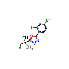 CC(C)(CF)c1nnc(-c2ccc(Br)cc2F)o1